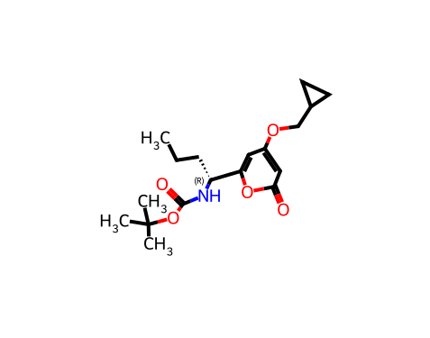 CCC[C@@H](NC(=O)OC(C)(C)C)c1cc(OCC2CC2)cc(=O)o1